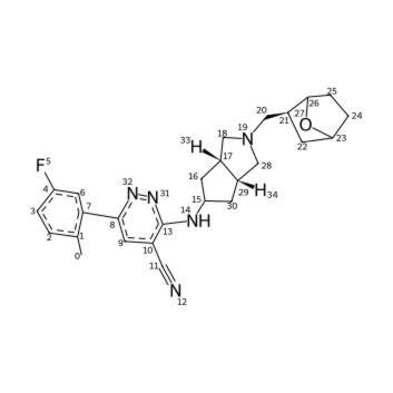 Cc1ccc(F)cc1-c1cc(C#N)c(NC2C[C@@H]3CN(C[C@@H]4CC5CCC4O5)C[C@@H]3C2)nn1